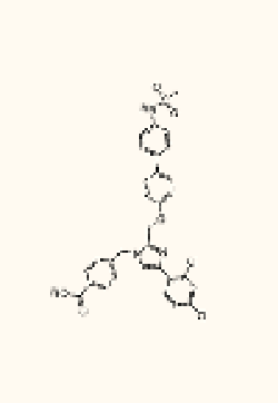 CS(=O)(=O)Nc1ccc(-c2ccc(OCc3nc(-c4ccc(Cl)cc4Cl)cn3Cc3ccc(C(=O)O)cc3)cc2)cc1